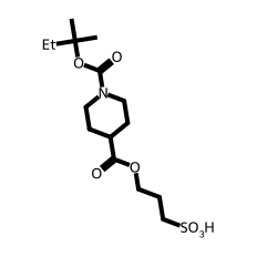 CCC(C)(C)OC(=O)N1CCC(C(=O)OCCCS(=O)(=O)O)CC1